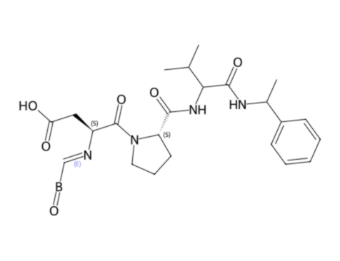 CC(NC(=O)C(NC(=O)[C@@H]1CCCN1C(=O)[C@H](CC(=O)O)/N=C/B=O)C(C)C)c1ccccc1